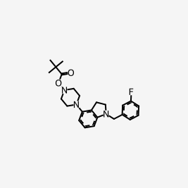 CC(C)(C)C(=O)ON1CCN(c2cccc3c2CCN3Cc2cccc(F)c2)CC1